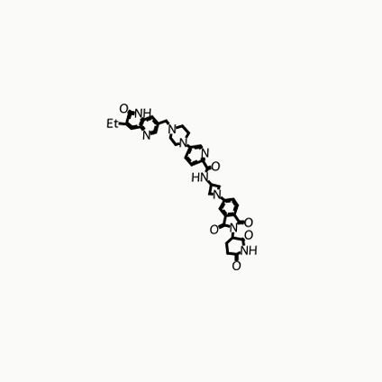 CCc1cc2ncc(CN3CCN(c4ccc(C(=O)NC5CN(c6ccc7c(c6)C(=O)N(C6CCC(=O)NC6=O)C7=O)C5)nc4)CC3)cc2[nH]c1=O